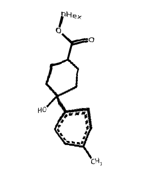 CCCCCCOC(=O)C1CCC(O)(c2ccc(C)cc2)CC1